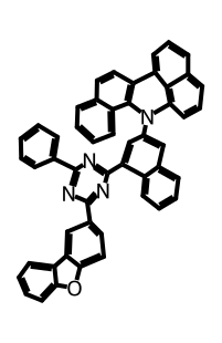 c1ccc(-c2nc(-c3ccc4oc5ccccc5c4c3)nc(-c3cc(N4c5c(ccc6ccccc56)-c5cccc6cccc4c56)cc4ccccc34)n2)cc1